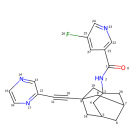 O=C(NC12CC3CC(CC(C#Cc4cnccn4)(C3)C1)C2)c1cncc(F)c1